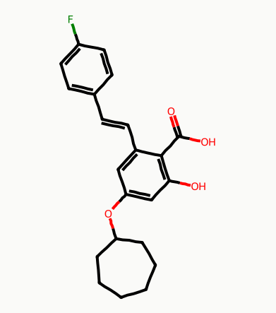 O=C(O)c1c(O)cc(OC2CCCCCC2)cc1C=Cc1ccc(F)cc1